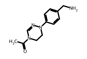 CC(=O)N1C=NN(c2ccc(CN)cc2)CC1